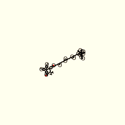 C=CCCCC(CCC1(CCC(c2ccc(OC)cc2)(c2ccc(OC)cc2)c2ccc(OC)cc2)CCC(C=O)(CCCCCCC(=O)CCCCCOC(=O)CCCCCOC(=O)CCCCO[C@@H]2O[C@H](COC(C)=O)[C@H](OC(C)=O)[C@H](OC(C)=O)[C@H]2CC(C)C)CC1)C(C(C)C)C(C)C